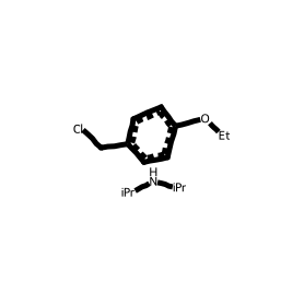 CC(C)NC(C)C.CCOc1ccc(CCl)cc1